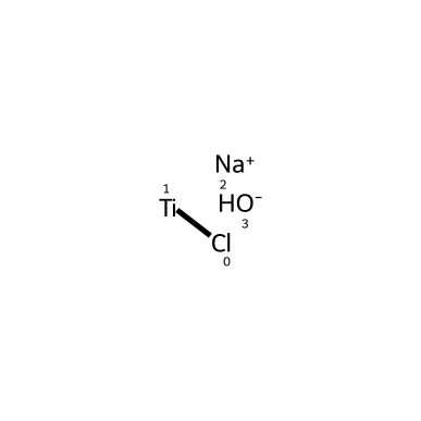 [Cl][Ti].[Na+].[OH-]